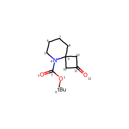 CC(C)(C)OC(=O)N1CCCCC12CC(=O)C2